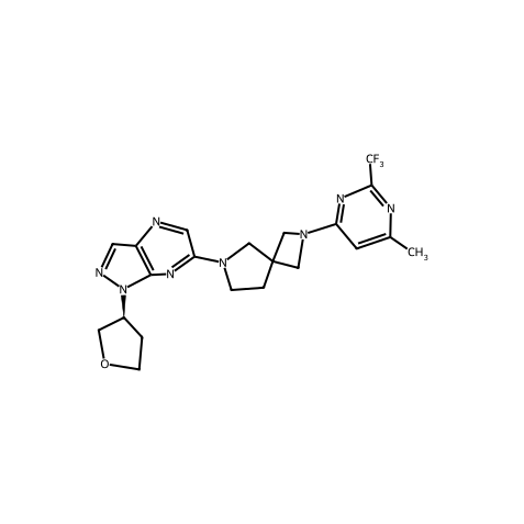 Cc1cc(N2CC3(CCN(c4cnc5cnn([C@H]6CCOC6)c5n4)C3)C2)nc(C(F)(F)F)n1